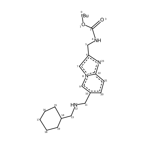 CC(C)(C)OC(=O)NCc1cn2cc(CNCC3CCCCC3)ccc2n1